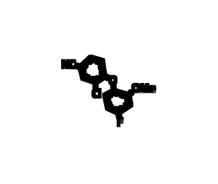 COc1cc(F)ccc1Oc1ccc(C#N)cc1Cl